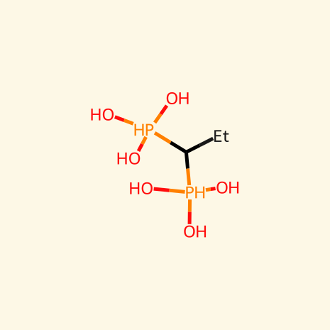 CCC([PH](O)(O)O)[PH](O)(O)O